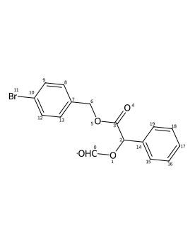 O=[C]OC(C(=O)OCc1ccc(Br)cc1)c1ccccc1